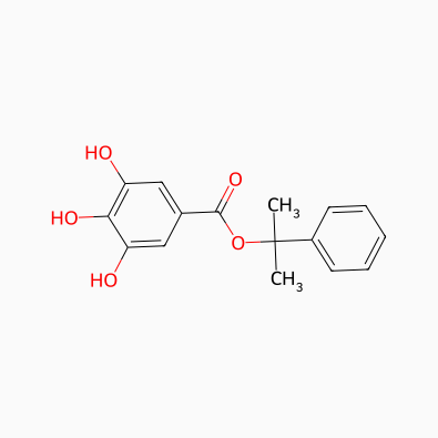 CC(C)(OC(=O)c1cc(O)c(O)c(O)c1)c1ccccc1